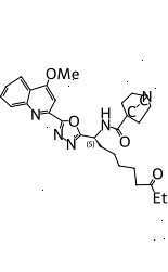 CCC(=O)CCCCC[C@H](NC(=O)C12CCN(CC1)CC2)c1nnc(-c2cc(OC)c3ccccc3n2)o1